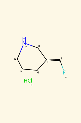 Cl.FC[C@H]1CCCNC1